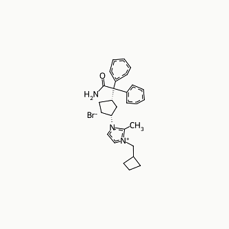 Cc1n([C@@H]2CC[C@H](C(C(N)=O)(c3ccccc3)c3ccccc3)C2)cc[n+]1CC1CCC1.[Br-]